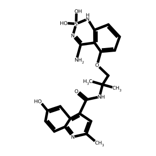 Cc1cc(C(=O)NC(C)(C)COc2cccc3c2C(N)=NS(O)(O)N3)c2cc(O)ccc2n1